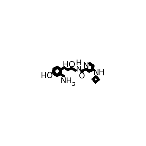 NCc1cc(O)ccc1CC[C@H](O)CNC(=O)c1cc(NC2CCC2)ccn1